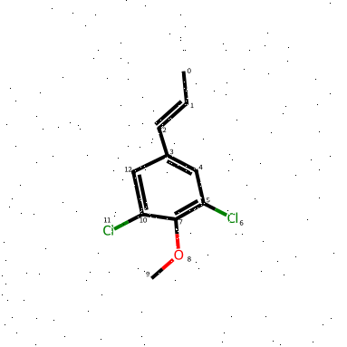 C/C=C/c1cc(Cl)c(OC)c(Cl)c1